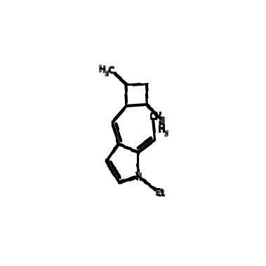 C/C=c1\c(=C/C2C(C)CC2C)ccn1CC